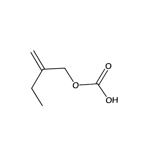 C=C(CC)COC(=O)O